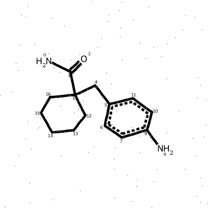 NC(=O)C1(Cc2ccc(N)cc2)CCCCC1